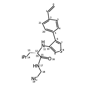 C=Cc1ccc(-c2cscc2N[C@@H](CC(C)C)C(=O)NCC#N)cc1